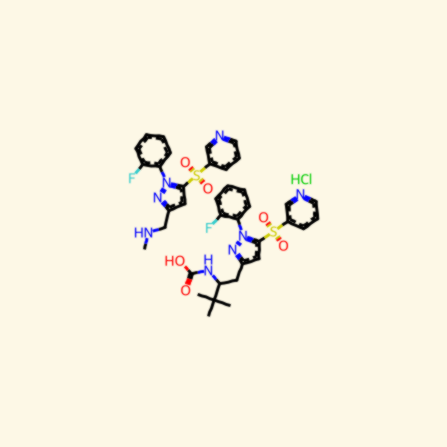 CC(C)(C)C(Cc1cc(S(=O)(=O)c2cccnc2)n(-c2ccccc2F)n1)NC(=O)O.CNCc1cc(S(=O)(=O)c2cccnc2)n(-c2ccccc2F)n1.Cl